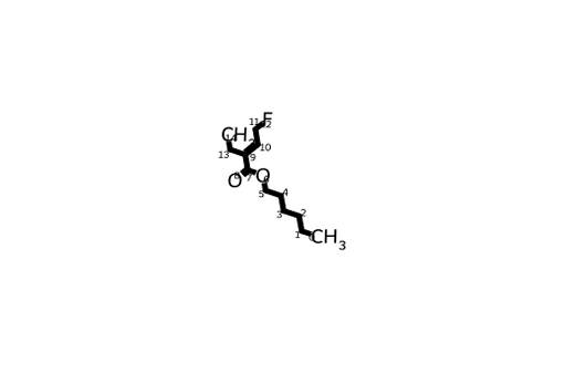 CCCCCCOC(=O)C(=CCF)CC